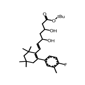 Cc1cc(C2=C(C=CC(O)CC(O)CC(=O)OC(C)(C)C)C(C)(C)CC(C)(C)C2)ccc1F